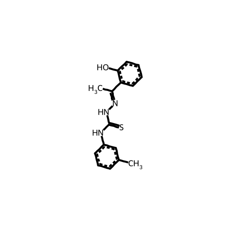 C/C(=N\NC(=S)Nc1cccc(C)c1)c1ccccc1O